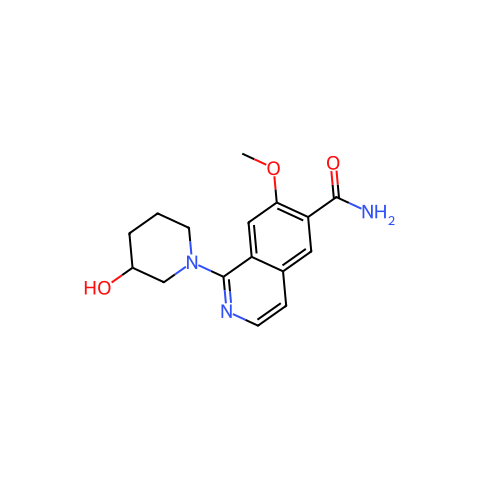 COc1cc2c(N3CCCC(O)C3)nccc2cc1C(N)=O